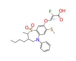 CCCCC1CN(c2ccccc2)c2cc(SC)c(O/C=C(\F)C(=O)O)cc2S(=O)(=O)C1C